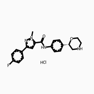 Cl.Cn1nc(-c2ccc(F)cc2)cc1C(=O)Nc1ccc([C@H]2CNCCO2)cc1